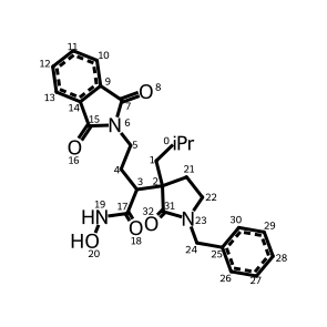 CC(C)CC1(C(CCN2C(=O)c3ccccc3C2=O)C(=O)NO)CCN(Cc2ccccc2)C1=O